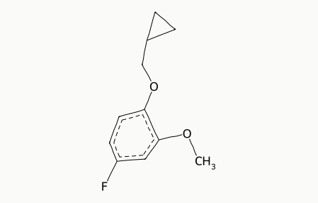 COc1cc(F)ccc1OCC1CC1